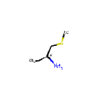 CC(=O)SC[C@@H](N)C(C)(C)C